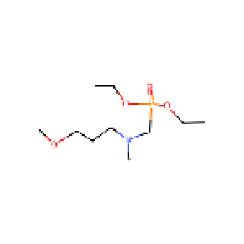 CCOP(=O)(CN(C)CCCOC)OCC